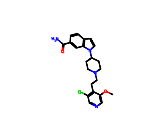 COc1cncc(Cl)c1CCN1CCC(n2ccc3ccc(C(N)=O)cc32)CC1